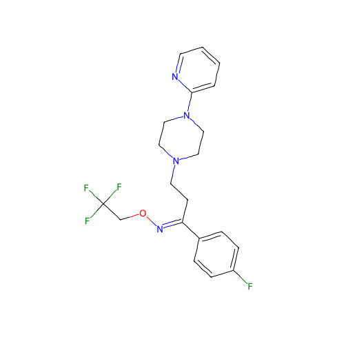 Fc1ccc(C(CCN2CCN(c3ccccn3)CC2)=NOCC(F)(F)F)cc1